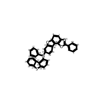 c1ccc(-c2nc3ccc4oc5cc(N(c6ccccc6)c6cccc7sc8ccccc8c67)ccc5c4c3o2)cc1